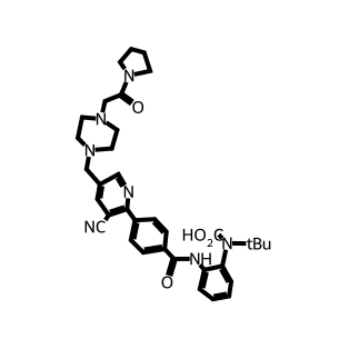 CC(C)(C)N(C(=O)O)c1ccccc1NC(=O)c1ccc(-c2ncc(CN3CCN(CC(=O)N4CCCC4)CC3)cc2C#N)cc1